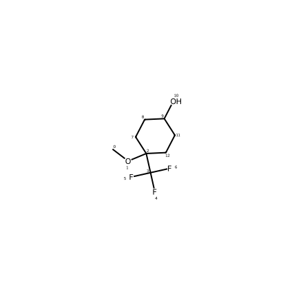 COC1(C(F)(F)F)CCC(O)CC1